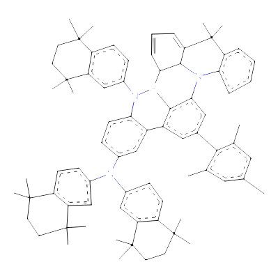 Cc1cc(C)c(-c2cc3c4c(c2)N2c5ccccc5C(C)(C)C5=CC=CC(B4N(c4ccc6c(c4)C(C)(C)CCC6(C)C)c4ccc(N(c6ccc7c(c6)C(C)(C)CCC7(C)C)c6ccc7c(c6)C(C)(C)CCC7(C)C)cc4-3)C52)c(C)c1